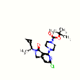 C[C@@H](C1CC1)N1Cc2cc(Cl)nc(N3CCN(C(=O)OC(C)(C)C)CC3)c2C1=O